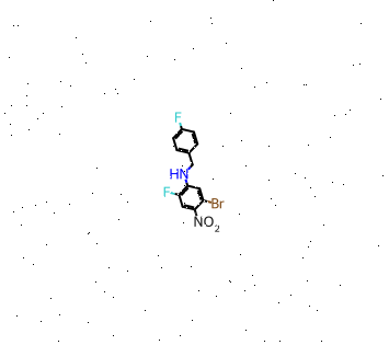 O=[N+]([O-])c1cc(F)c(NCc2ccc(F)cc2)cc1Br